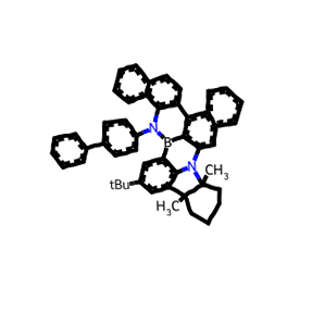 CC(C)(C)c1cc2c3c(c1)C1(C)CCCCC1(C)N3c1cc3ccccc3c3c1B2N(c1ccc(-c2ccccc2)cc1)c1c-3ccc2ccccc12